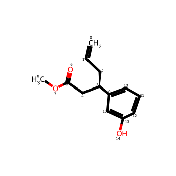 C=CC[C@H](CC(=O)OC)c1cccc(O)c1